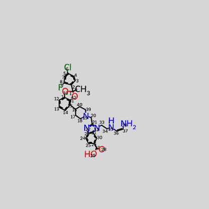 CC1(c2ccc(Cl)cc2F)Oc2cccc(C3CCN(Cc4nc5ccc(C(=O)O)cc5n4CCN/C=C\N)CC3)c2O1